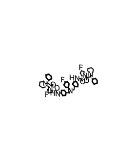 O=C(Nc1ccc(CN(Cc2ccc(NC(=O)[C@@H]3C[C@@H](F)CN3C(=O)[C@@H](c3ccccc3)N3CCCCC3)cc2)c2ccc(F)cc2)cc1)[C@@H]1C[C@@H](F)CN1C(=O)[C@@H](c1ccccc1)N1CCCCC1